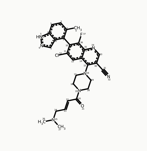 Cc1ccc2[nH]ncc2c1-c1c(Cl)cc2c(N3CCN(C(=O)C=CCN(C)C)CC3)c(C#N)cnc2c1F